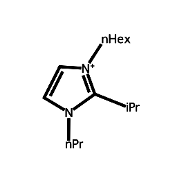 CCCCCC[n+]1ccn(CCC)c1C(C)C